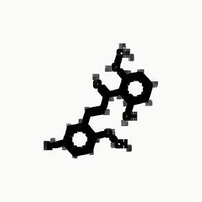 COc1ccc(Br)cc1C=CC(=O)c1c(O)cccc1OC